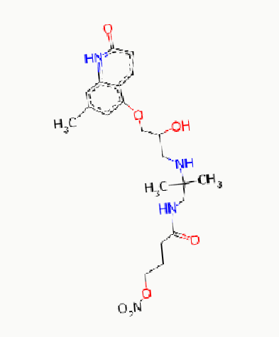 Cc1cc(OCC(O)CNC(C)(C)CNC(=O)CCCO[N+](=O)[O-])c2ccc(=O)[nH]c2c1